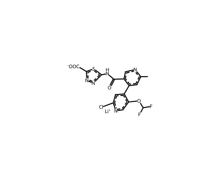 Cc1cc(-c2cc(Cl)ncc2OC(F)F)c(C(=O)Nc2nnc(C(=O)[O-])s2)cn1.[Li+]